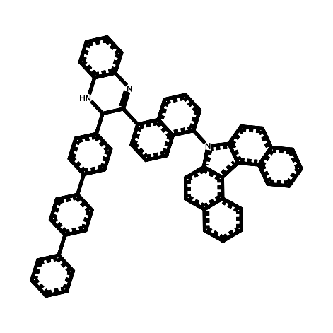 c1ccc(-c2ccc(-c3ccc(C4Nc5ccccc5N=C4c4cccc5c(-n6c7ccc8ccccc8c7c7c8ccccc8ccc76)cccc45)cc3)cc2)cc1